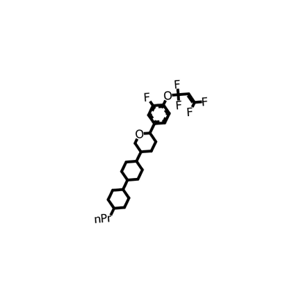 CCCC1CCC(C2CCC(C3CCC(c4ccc(OC(F)(F)C=C(F)F)c(F)c4)OC3)CC2)CC1